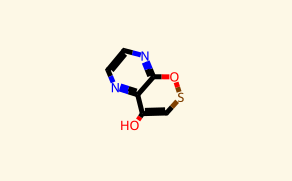 OC1=CSOc2nccnc21